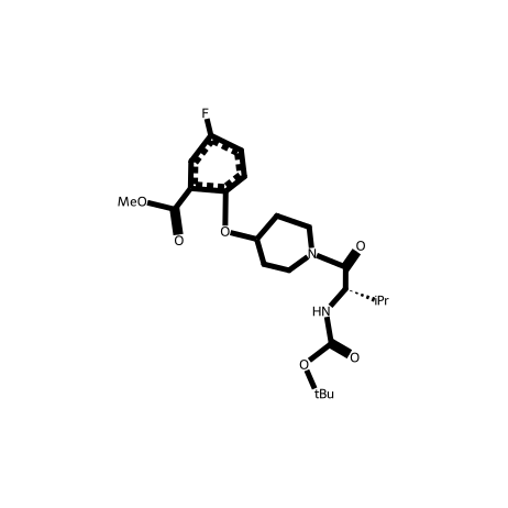 COC(=O)c1cc(F)ccc1OC1CCN(C(=O)[C@@H](NC(=O)OC(C)(C)C)C(C)C)CC1